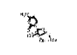 CC(C)(C)C[C@H]1O[C@@H](n2ccc(N)nc2=O)C(C(C)(C)C)[C@H]1O